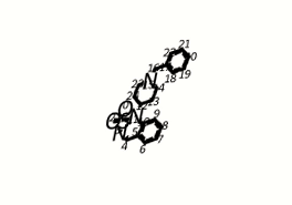 O=S1(=O)N=Cc2ccccc2N1C1CCN(Cc2ccccc2)CC1